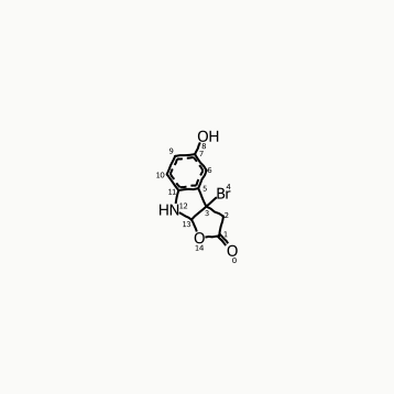 O=C1CC2(Br)c3cc(O)ccc3NC2O1